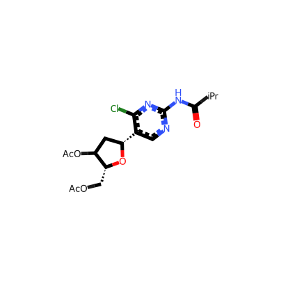 CC(=O)OC[C@H]1O[C@@H](c2cnc(NC(=O)C(C)C)nc2Cl)CC1OC(C)=O